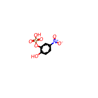 O=[N+]([O-])c1ccc(O)c(OS(=O)(=O)O)c1